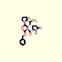 CC(C)C[C@@H](C(=O)N1CCCC1)N(C(=O)OCc1ccccc1)C(=O)[C@@H]1CCC(=O)N1